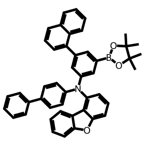 CC1(C)OB(c2cc(-c3cccc4ccccc34)cc(N(c3ccc(-c4ccccc4)cc3)c3cccc4oc5ccccc5c34)c2)OC1(C)C